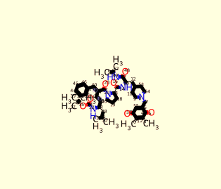 CC1=C(C)C(=O)C(CN2CCC(C[C@H](NC(=O)[C@@H]3CCCN3C(=O)C(/C=C/[C@H](CC(C)C)NC(=O)OC(C)(C)C)=C/c3ccccc3)C(=O)NC(C)C)CC2)=CC1=O